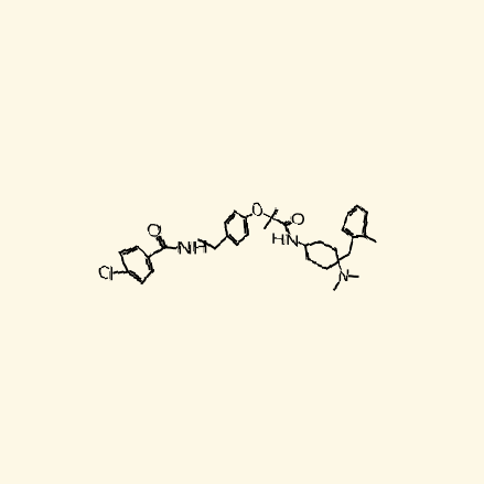 Cc1ccccc1CC1(N(C)C)CCC(NC(=O)C(C)(C)Oc2ccc(CCNC(=O)c3ccc(Cl)cc3)cc2)CC1